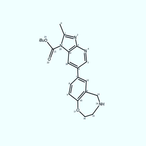 Cc1nc2ncc(-c3ccc4c(c3)CNCCO4)cc2n1C(=O)OCC(C)C